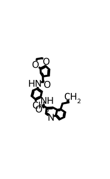 C=CCc1cccc2ncc(C(=O)Nc3cc(NC(=O)c4ccc5c(c4)OCCO5)ccc3C)cc12